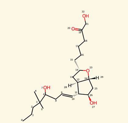 CCCC(C)(C)C(O)CC=C[C@@H]1[C@H]2C[C@H](CCCCC(=O)CO)O[C@@H]2C[C@H]1O